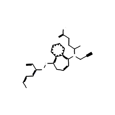 C#CCN(C1=c2ccccc2=C(NS/C(C=C)=C/C=C\C)CC=C1)C(C)CCC(=O)OC